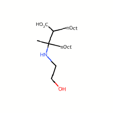 CCCCCCCCC(C(=O)O)C(C)(CCCCCCCC)NCCO